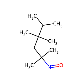 CC(C)C(C)(C)CC(C)(C)N=O